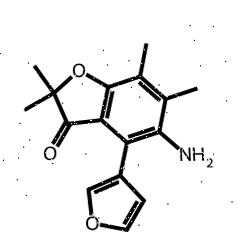 Cc1c(C)c2c(c(-c3ccoc3)c1N)C(=O)C(C)(C)O2